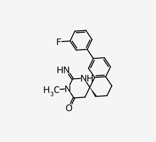 CN1C(=N)N[C@@]2(CCCc3ccc(-c4cccc(F)c4)cc32)CC1=O